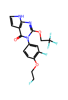 O=c1c2cc[nH]c2nc(OCC(F)(F)F)n1-c1ccc(OCCF)c(F)c1